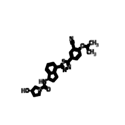 CC(C)Oc1ccc(-c2nnc(-c3cccc4c3CC[C@@H]4NC(=O)N3CC[C@H](O)C3)s2)cc1C#N